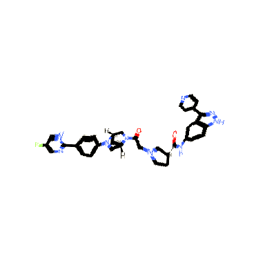 O=C(Nc1ccc2[nH]nc(-c3ccncc3)c2c1)[C@@H]1CCN(CC(=O)N2C[C@@H]3C[C@H]2CN3c2ccc(-c3ncc(F)cn3)cc2)C1